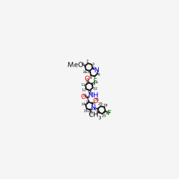 COc1ccc2nccc(Oc3ccc(NC(=O)c4ccc(C)n(-c5ccc(F)cc5)c4=O)cc3F)c2c1